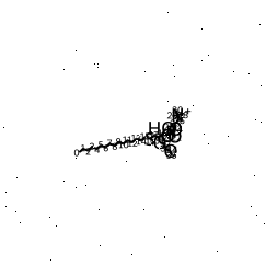 CCCCCCCCCCCCCCCCSCC(COP(=O)(O)OCC[N+](C)(C)C)OCCOC